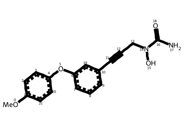 COc1ccc(Oc2cccc(C#CCN(O)C(N)=O)c2)cc1